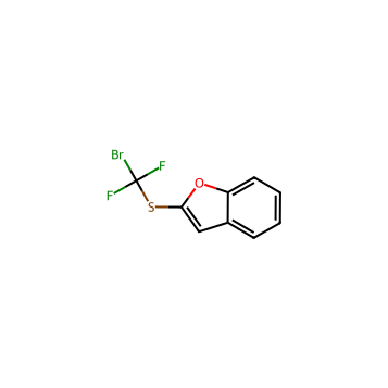 FC(F)(Br)Sc1cc2ccccc2o1